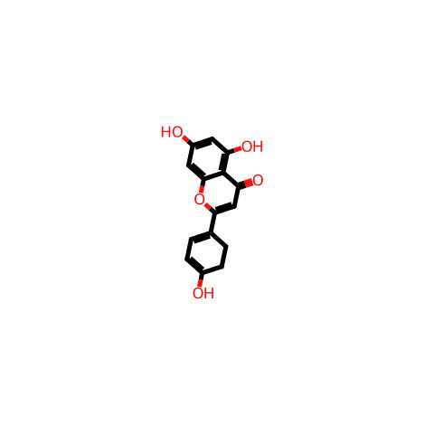 O=c1cc(C2=CC=C(O)CC2)oc2cc(O)cc(O)c12